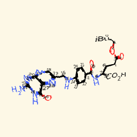 CCC(C)COC(=O)CCC(NC(=O)c1ccc(NCc2cnc3nc(N)[nH]c(=O)c3n2)cc1)C(=O)O